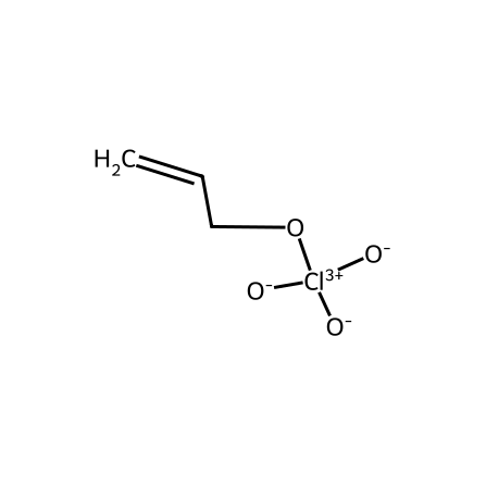 C=CCO[Cl+3]([O-])([O-])[O-]